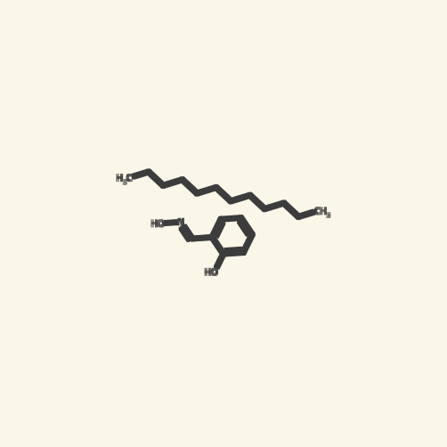 CCCCCCCCCCCC.ON=Cc1ccccc1O